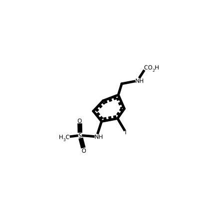 CS(=O)(=O)Nc1ccc(CNC(=O)O)cc1I